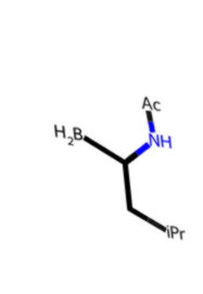 BC(CC(C)C)NC(C)=O